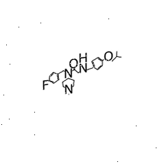 CC(C)COc1ccc(CNCC(=O)N(Cc2ccc(F)cc2)C2CCN(C)CC2)cc1